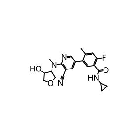 Cc1cc(F)c(C(=O)NC2CC2)cc1-c1cnc(N(C)[C@@H]2COC[C@H]2O)c(C#N)c1